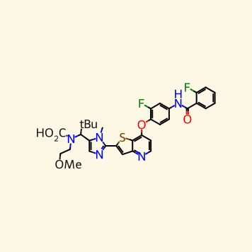 COCCN(C(=O)O)C(c1cnc(-c2cc3nccc(Oc4ccc(NC(=O)c5ccccc5F)cc4F)c3s2)n1C)C(C)(C)C